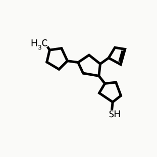 CC1CCC(C2CC(C3C=CC3)C(C3CCC(S)C3)C2)C1